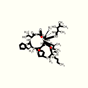 CCCCO[C@]1(CO)/C=C/C(=O)NC23NC(=O)[C@@H]([C@@H](C)CC)NC(=O)[C@@H](NC(=O)[C@H](C)[C@H](O)C(C)C)[C@@H](C)OC(=O)[C@H](COC2=O)NC(=O)[C@@H]([C@@H](C)O)NC(=O)[C@H](Cc2ccccc2)N(C)C(=O)[C@@H]3c2ccc(cc2)O[C@@H]1C